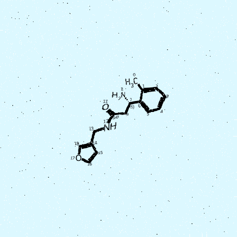 Cc1ccccc1[C@@H](N)CC(=O)NCc1ccoc1